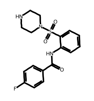 O=C(Nc1ccccc1S(=O)(=O)N1CCNCC1)c1ccc(F)cc1